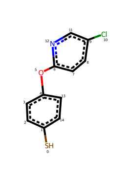 Sc1ccc(Oc2ccc(Cl)cn2)cc1